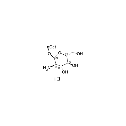 CCCCCCCCO[C@H]1O[C@H](CO)[C@@H](O)[C@H](O)[C@H]1N.Cl